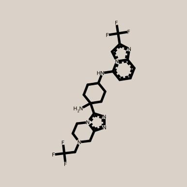 NC1(c2nnc3n2CCN(CC(F)(F)F)C3)CCC(Nc2cccc3nc(C(F)(F)F)cn23)CC1